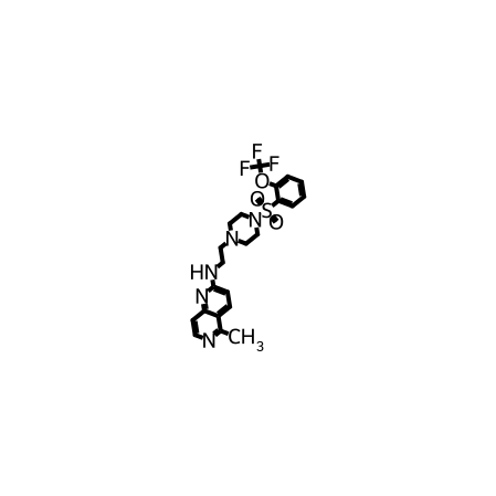 Cc1nccc2nc(NCCN3CCN(S(=O)(=O)c4ccccc4OC(F)(F)F)CC3)ccc12